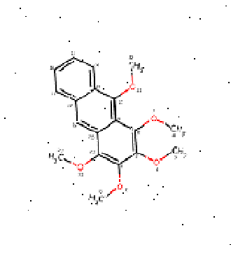 COc1c(OC)c(OC)c2c(OC)c3ccccc3cc2c1OC